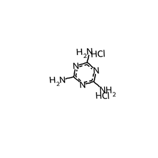 Cl.Cl.Nc1nc(N)nc(N)n1